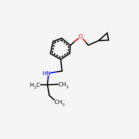 CCC(C)(C)NCc1cccc(OCC2CC2)c1